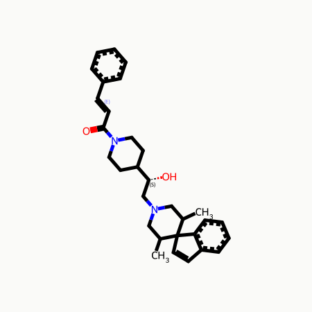 CC1CN(C[C@@H](O)C2CCN(C(=O)/C=C/c3ccccc3)CC2)CC(C)C12C=Cc1ccccc12